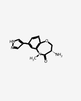 CN1C(=O)[C@@H](N)COc2ccc(-c3cn[nH]c3)cc21